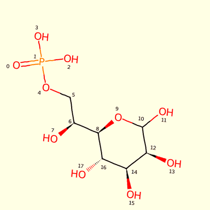 O=P(O)(O)OC[C@H](O)[C@H]1OC(O)[C@@H](O)[C@@H](O)[C@@H]1O